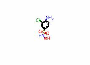 Nc1ccc(S(=O)(=O)NO)cc1Cl